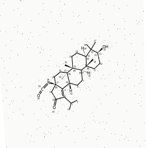 CC(C)C1=C2[C@H]3CC[C@@H]4[C@@]5(C)CC[C@H](O)C(C)(C)[C@@H]5CC[C@@]4(C)[C@]3(C)CC[C@@]2(N=C=O)CC1=O